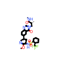 CNC(=O)[C@H](C)Cn1cnc2ccc(-c3cnc(OC)c(NS(=O)(=O)c4ccccc4C(F)(F)F)c3)cc2c1=O